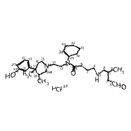 CC(CC=O)CNCCCC(=O)N(CCN1CCC(C)(c2cccc(O)c2)C(C)C1)C1CCCCC1.Cl